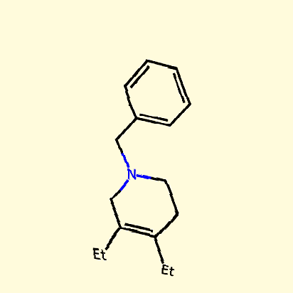 CCC1=C(CC)CN(Cc2ccccc2)CC1